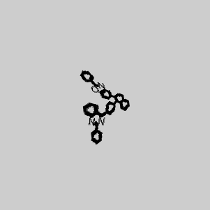 c1ccc(-c2nc(-c3ccc(-c4c(-c5ccc6oc(-c7ccccc7)nc6c5)ccc5ccccc45)cc3)c3ccccc3n2)cc1